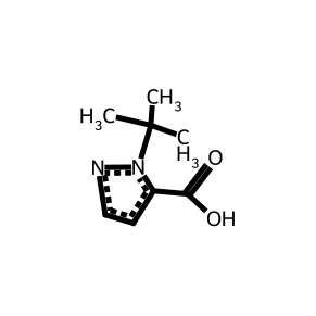 CC(C)(C)n1nccc1C(=O)O